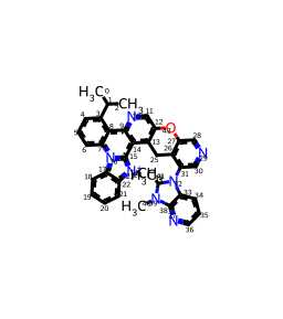 CC(C)c1cccc2c1c1ncc3c(c1c1n2c2ccccc2[n+]1C)Cc1c(cncc1N1c2cccnc2N(C)C1C)O3